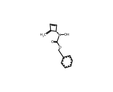 C=C1C=C[C@H]1N(O)C(=O)OCc1ccccc1